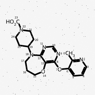 Cc1ncccc1Oc1ncnc2c1OCCCN2C1CCN(C(=O)O)CC1